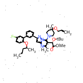 C=CCOC1(C)CCN(c2c([C@H](OC(C)(C)C)C(=O)OC)c(C)nc3cc(-c4cccc(-c5cc(F)ccc5O[C@@H](C)CC=C)c4)nn23)CC1